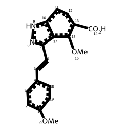 COc1ccc(/C=C/c2n[nH]c3ccc(C(=O)O)c(OC)c23)cc1